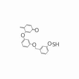 C=C1C=CC(=O)C=C1Oc1cccc(OCc2cccc(OS)c2)c1